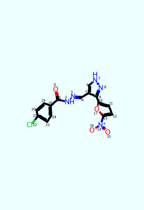 O=C(NN=Cc1c[nH]nc1-c1ccc([N+](=O)[O-])o1)c1ccc(Cl)cc1